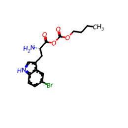 CCCCOC(=O)OC(=O)[C@@H](N)Cc1c[nH]c2ccc(Br)cc12